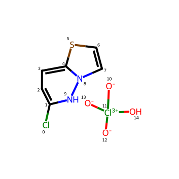 ClC1=CC=C2SC=CN2N1.[O-][Cl+3]([O-])([O-])O